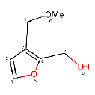 COCc1ccoc1CO